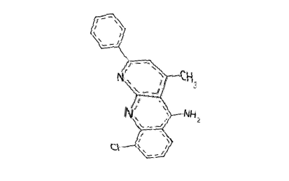 Cc1cc(-c2ccccc2)nc2nc3c(Cl)cccc3c(N)c12